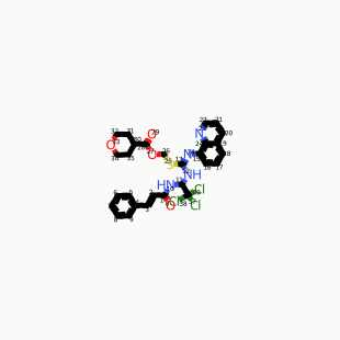 O=C(/C=C/c1ccccc1)NC(N/C(=N\c1cccc2cccnc12)SCOC(=O)C1CCOCC1)C(Cl)(Cl)Cl